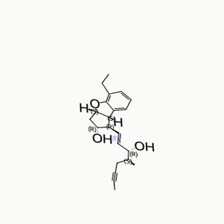 CC#CC[C@H](C)[C@@H](O)/C=C/[C@@H]1[C@H]2c3cccc(CC)c3O[C@H]2C[C@H]1O